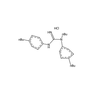 CCCCc1ccc(NC(=N)N(CCCC)c2ccc(CCCC)cc2)cc1.Cl